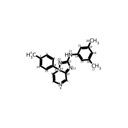 Cc1ccc([N+]23C=CN=CC2=NC(Nc2cc(C)cc(C)c2)=N3)cc1